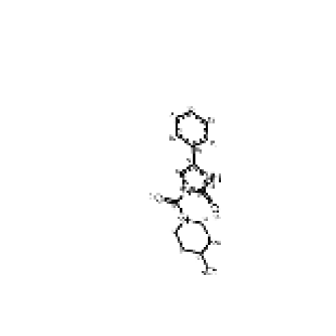 CCC1CCN(C(=O)n2cc(-c3ccccc3)[nH]c2=O)CC1